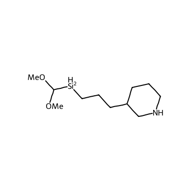 COC(OC)[SiH2]CCCC1CCCNC1